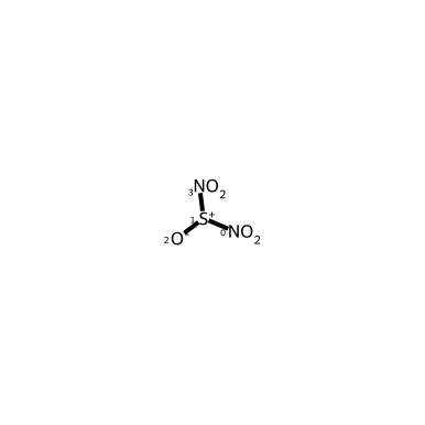 O=[N+]([O-])[S+]([O-])[N+](=O)[O-]